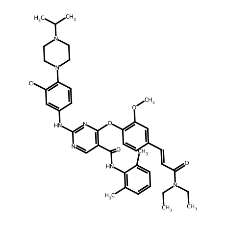 CCN(CC)C(=O)/C=C/c1ccc(Oc2nc(Nc3ccc(N4CCN(C(C)C)CC4)c(Cl)c3)ncc2C(=O)Nc2c(C)cccc2C)c(OC)c1